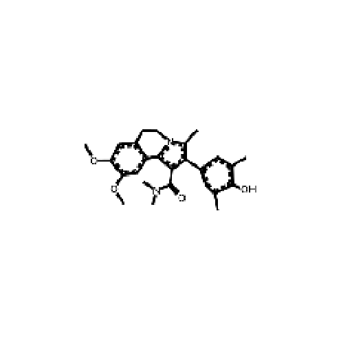 COc1cc2c(cc1OC)-c1c(C(=O)N(C)C)c(-c3cc(C)c(O)c(C)c3)c(C)n1CC2